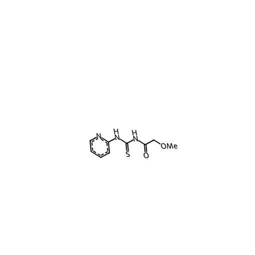 COCC(=O)NC(=S)Nc1ccccn1